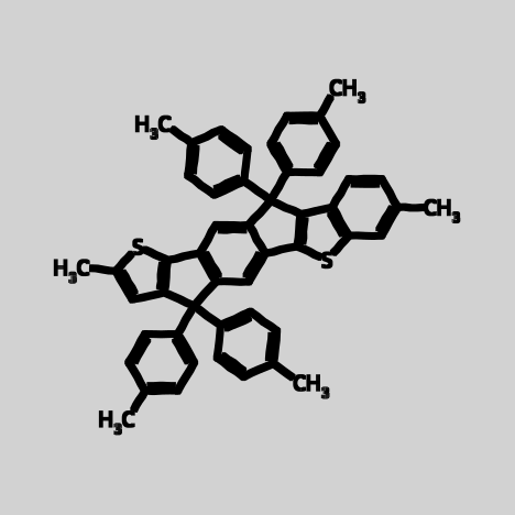 Cc1ccc(C2(c3ccc(C)cc3)c3cc4c(cc3-c3sc(C)cc32)C(c2ccc(C)cc2)(c2ccc(C)cc2)c2c-4sc3cc(C)ccc23)cc1